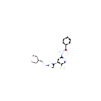 O=C(Nc1cc(-c2csc(NCC3CCOCC3)n2)c(Cl)cn1)c1ccc(F)cc1